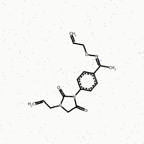 C=CCO/N=C(/C)c1ccc(N2C(=O)CN(CC=C)C2=O)cc1